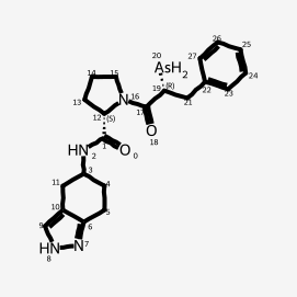 O=C(NC1CCc2n[nH]cc2C1)[C@@H]1CCCN1C(=O)[C@H]([AsH2])Cc1ccccc1